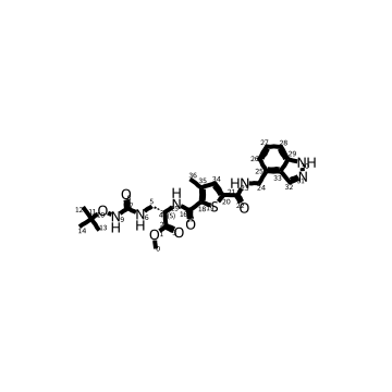 COC(=O)[C@H](CNC(=O)NOC(C)(C)C)NC(=O)c1sc(C(=O)NCc2cccc3[nH]ncc23)cc1C